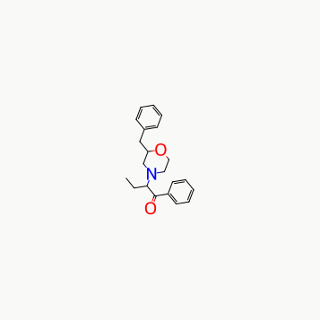 CCC(C(=O)c1ccccc1)N1CCOC(Cc2ccccc2)C1